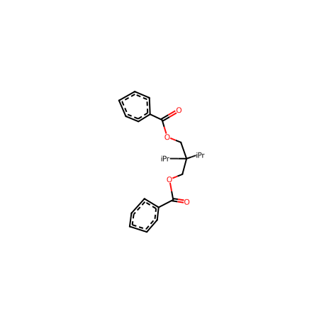 CC(C)C(COC(=O)c1ccccc1)(COC(=O)c1ccccc1)C(C)C